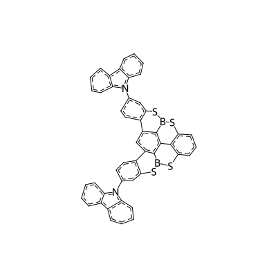 c1cc2c3c(c1)SB1Sc4cc(-n5c6ccccc6c6ccccc65)ccc4-c4cc5c(c-3c41)B(Sc1cc(-n3c4ccccc4c4ccccc43)ccc1-5)S2